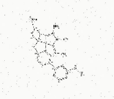 CCCN1C(N)=NC2(/C1=N/C)c1cc(-c3cccc(OC(F)(F)F)c3)ccc1CC21CCC(OC)CC1